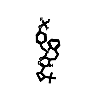 CC(C)(C)C1CC[C]1C(=O)NC1CCc2ccccc2N(Cc2ccc(OC(F)(F)F)cc2)C1=O